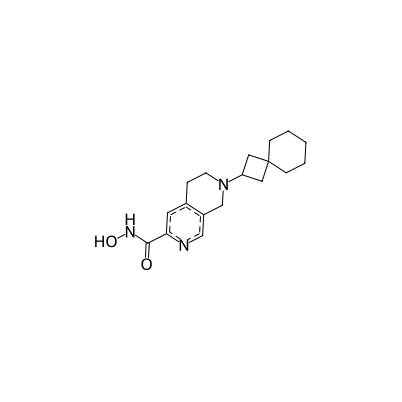 O=C(NO)c1cc2c(cn1)CN(C1CC3(CCCCC3)C1)CC2